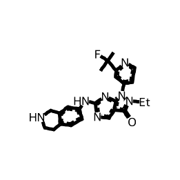 CCn1c(=O)c2cnc(Nc3ccc4c(c3)CNCC4)nc2n1-c1ccnc(C(C)(C)F)c1